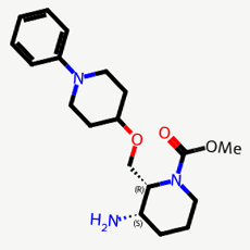 COC(=O)N1CCC[C@H](N)[C@@H]1COC1CCN(c2ccccc2)CC1